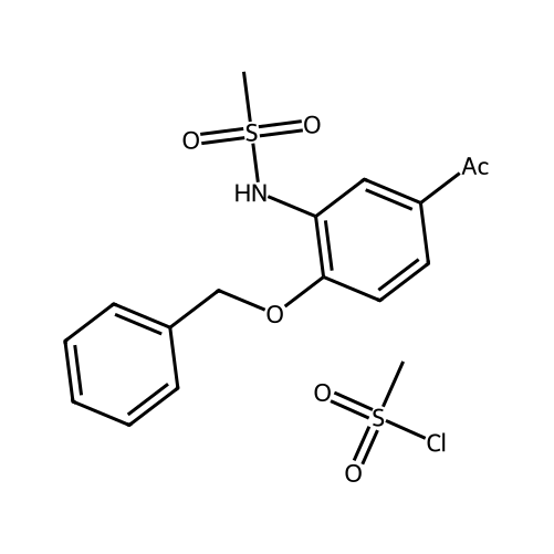 CC(=O)c1ccc(OCc2ccccc2)c(NS(C)(=O)=O)c1.CS(=O)(=O)Cl